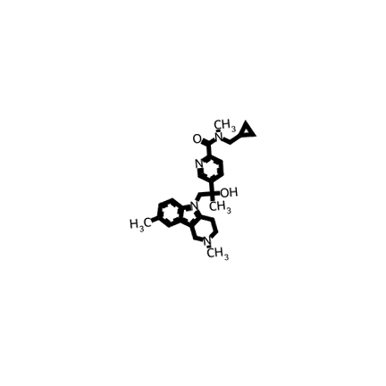 Cc1ccc2c(c1)c1c(n2CC(C)(O)c2ccc(C(=O)N(C)CC3CC3)nc2)CCN(C)C1